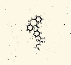 CCCS(=O)(=O)Nc1cccc(C=C2c3ccccc3CCc3ccccc32)c1